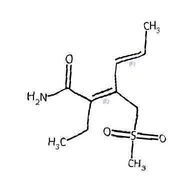 C/C=C/C(CS(C)(=O)=O)=C(/CC)C(N)=O